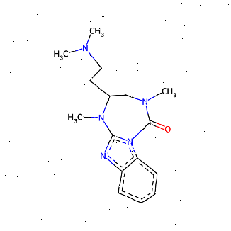 CN(C)CCC1CN(C)C(=O)n2c(nc3ccccc32)N1C